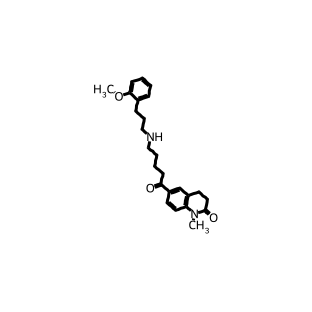 COc1ccccc1CCCNCCCCC(=O)c1ccc2c(c1)CCC(=O)N2C